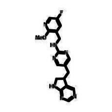 COc1ncc(F)cc1CNc1ncc(CC2CNc3ncncc32)cn1